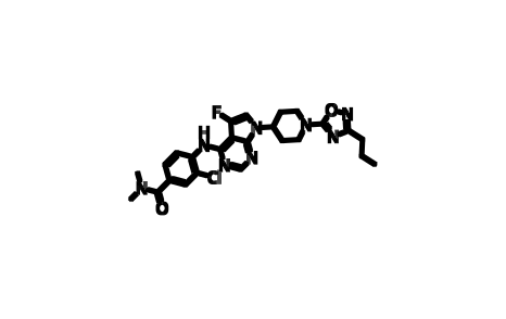 CCCc1noc(N2CCC(n3cc(F)c4c(Nc5ccc(C(=O)N(C)C)cc5Cl)ncnc43)CC2)n1